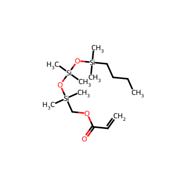 C=CC(=O)OC[Si](C)(C)O[Si](C)(C)O[Si](C)(C)CCCC